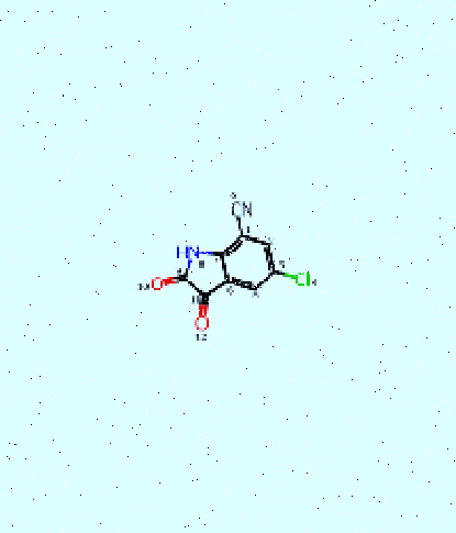 N#Cc1cc(Cl)cc2c1NC(=O)C2=O